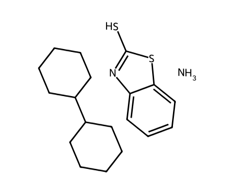 C1CCC(C2CCCCC2)CC1.N.Sc1nc2ccccc2s1